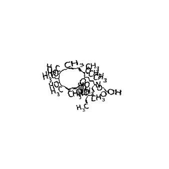 C/C=C/C(O)C(C)/C=C/C(=N\OCC(=O)O)C(C)C(O)C(C)C1OC(=O)/C(OC)=C/C(C)=C/C(C)C(O)C(CC)C(O)C(C)C/C(C)=C/C=C/C1OC